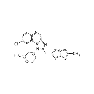 Cc1cn2cc(Cc3nc4cnc5ccc(Cl)cc5c4n3[C@@H]3CCO[C@H](C)C3)nc2s1